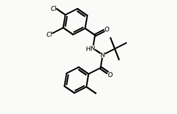 Cc1ccccc1C(=O)N(NC(=O)c1ccc(Cl)c(Cl)c1)C(C)(C)C